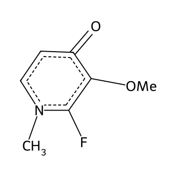 COc1c(F)n(C)ccc1=O